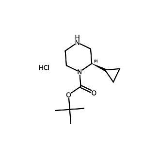 CC(C)(C)OC(=O)N1CCNC[C@H]1C1CC1.Cl